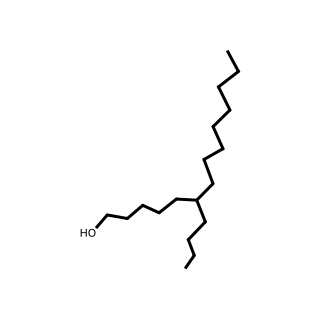 CCCCCCCCC(CCCC)CCCCCO